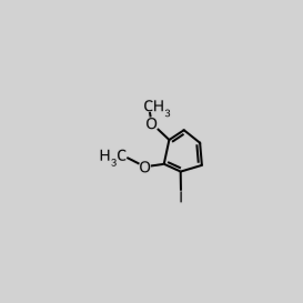 COc1cccc(I)c1OC